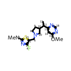 CNc1nc(F)c(CN2CCC(C(C)c3cc(OC)ncn3)C2)s1